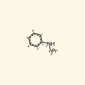 CC[CH]Nc1ccccc1